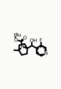 CC(C)(C)OC(=O)N1C2(C)CCC1(C(O)c1ccncc1F)CC2